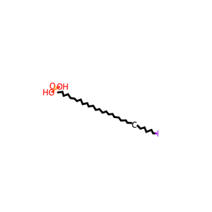 O=P(O)(O)CCCCCCCCCCCCCCCCCCCCCCCCCCCCCCCI